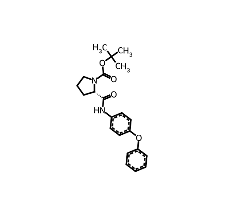 CC(C)(C)OC(=O)N1CCC[C@H]1C(=O)Nc1ccc(Oc2ccccc2)cc1